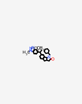 Cc1c(C(CC(=O)O)c2ccc3c(c2)C2C(CC(=O)N2CC2CCCCC2)C3)ccc2c1nnn2C